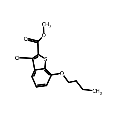 CCCCOc1cccc2c(Cl)c(C(=O)OC)sc12